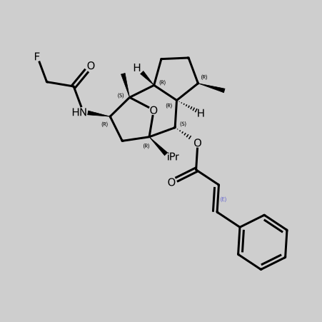 CC(C)[C@@]12C[C@@H](NC(=O)CF)[C@@](C)(O1)[C@@H]1CC[C@@H](C)[C@H]1[C@@H]2OC(=O)/C=C/c1ccccc1